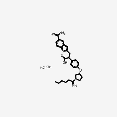 CCCCCC(=N)N1CC[C@H](Oc2ccc(C(Cc3cc4cc(C(=N)N)ccc4s3)C(=O)O)cc2)C1.Cl.Cl